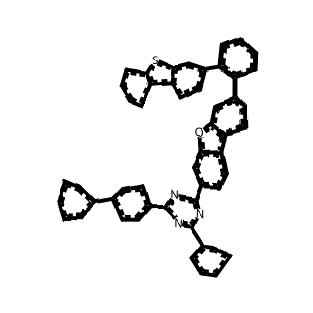 c1ccc(-c2ccc(-c3nc(-c4ccccc4)nc(-c4ccc5c(c4)oc4cc(-c6ccccc6-c6ccc7c(c6)sc6ccccc67)ccc45)n3)cc2)cc1